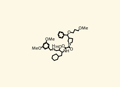 COCCCOC(c1ccccc1)C1CCN(C(=O)C(=O)NC(CC2CCCCC2)C(O)CNCc2cc(OC)cc(OC)c2)C1